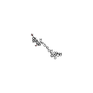 N#Cc1cnc2c(cnn2-c2cc(NC3CC3)c(C(=O)N[C@H]3C[C@H](COCCOCCOCCNc4cccc5c4C(=O)N(C4CCC(=O)NC4=O)C5=O)C3)cn2)c1